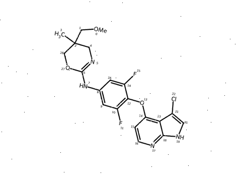 COCC1(C)CN=C(Nc2cc(F)c(Oc3ccnc4[nH]cc(Cl)c34)c(F)c2)OC1